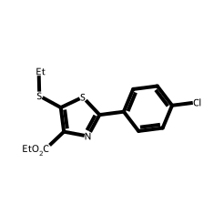 CCOC(=O)c1nc(-c2ccc(Cl)cc2)sc1SCC